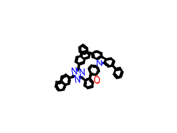 C1=C(n2c3cc(-c4ccccc4)ccc3c3ccc(-c4ccccc4)cc32)CC2Oc3cccc(-c4nc(-c5ccc6ccccc6c5)nc(-c5ccc6ccccc6c5)n4)c3C2C1